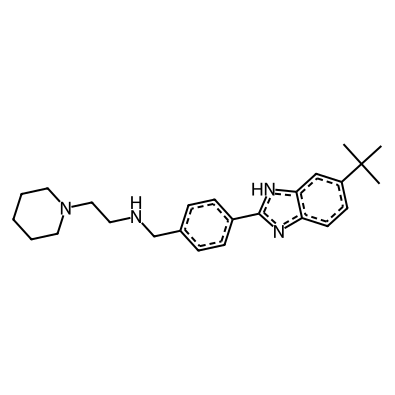 CC(C)(C)c1ccc2nc(-c3ccc(CNCCN4CCCCC4)cc3)[nH]c2c1